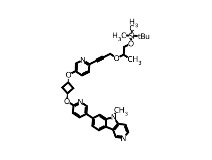 CC(CO[Si](C)(C)C(C)(C)C)OCC#Cc1ccc(O[C@H]2C[C@H](Oc3ccc(-c4ccc5c6cnccc6n(C)c5c4)cn3)C2)cn1